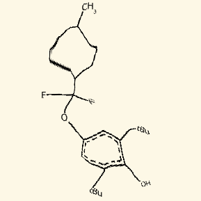 CC1CCC(C(F)(F)Oc2cc(C(C)(C)C)c(O)c(C(C)(C)C)c2)CC1